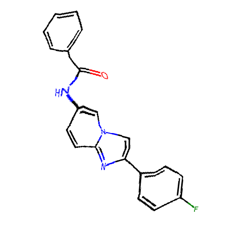 O=C(Nc1ccc2nc(-c3ccc(F)cc3)cn2c1)c1ccccc1